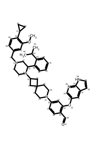 COc1cc(CN2CCN(C3CC4(CCN(c5ccc(C=O)c(Oc6cnc7[nH]ccc7c6)c5)CC4)C3)C(c3ccccc3C(C)C)C2)ccc1C1CC1